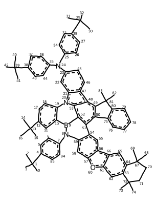 CC(C)(C)c1ccc(N2B3c4cc(C(C)(C)C)ccc4-n4c5cc(N(c6ccc(C(C)(C)C)cc6)c6ccc(C(C)(C)C)cc6)ccc5c5c6c(c(c3c54)-c3cc4c(cc32)oc2cc3c(cc24)C(C)(C)CCC3(C)C)-c2ccccc2C6(C)C)cc1